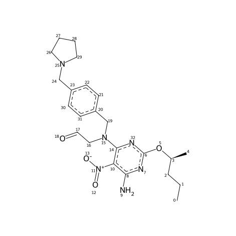 CCC[C@H](C)Oc1nc(N)c([N+](=O)[O-])c(N(CC=O)Cc2ccc(CN3CCCC3)cc2)n1